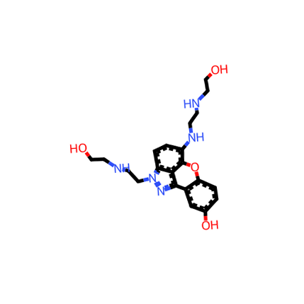 OCCNCCNc1ccc2c3c(nn2CCNCCO)-c2cc(O)ccc2Oc13